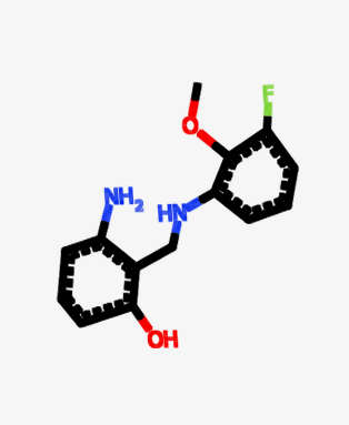 COc1c(F)cccc1NCc1c(N)cccc1O